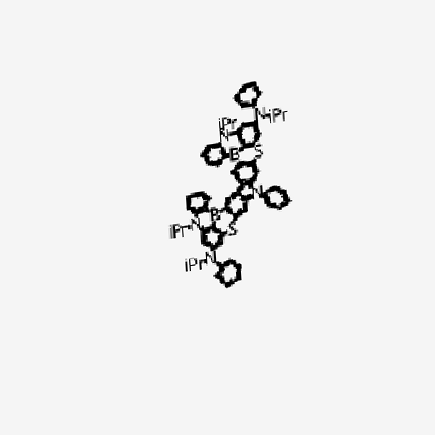 CC(C)N(c1ccccc1)c1cc2c3c(c1)N(C(C)C)c1ccccc1B3c1cc3c4cc5c(cc4n(-c4ccccc4)c3cc1S2)Sc1cc(N(c2ccccc2)C(C)C)cc2c1B5c1ccccc1N2C(C)C